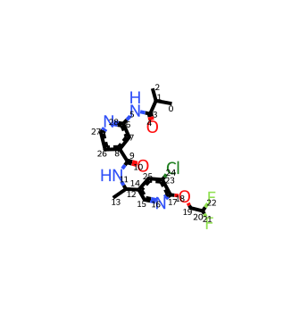 CC(C)C(=O)Nc1cc(C(=O)NC(C)c2cnc(OCC(F)F)c(Cl)c2)ccn1